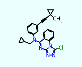 CC1(C#Cc2cccc(N(CC3CC3)c3nc4nnc(Cl)n4c4ccccc34)c2)CC1